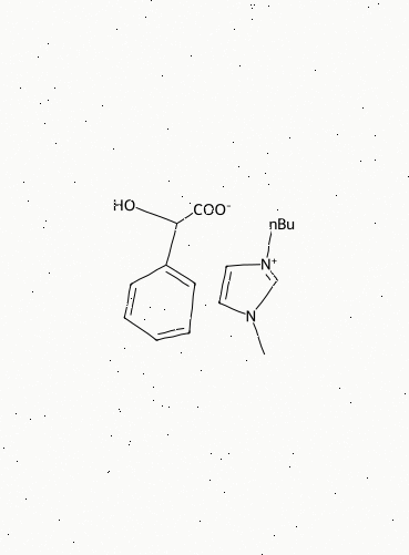 CCCC[n+]1ccn(C)c1.O=C([O-])C(O)c1ccccc1